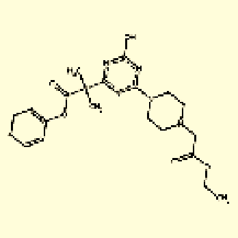 CCOC(=O)CN1CCN(c2nc(O)nc([N+](C)(C)C(=O)OC3=CC[CH]C=C3)n2)CC1